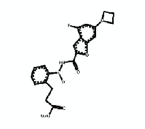 COC(=O)CCc1ccccc1[S+]([O-])NC(=O)c1cc2c(F)cc(N3CCC3)cc2o1